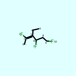 [CH2]C(F)=C(CC)C(F)CCF